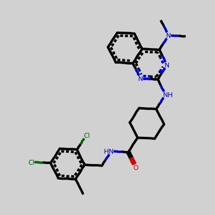 Cc1cc(Cl)cc(Cl)c1CNC(=O)C1CCC(Nc2nc(N(C)C)c3ccccc3n2)CC1